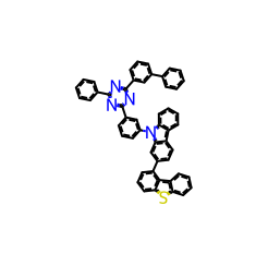 c1ccc(-c2cccc(-c3nc(-c4ccccc4)nc(-c4cccc(-n5c6ccccc6c6ccc(-c7cccc8sc9ccccc9c78)cc65)c4)n3)c2)cc1